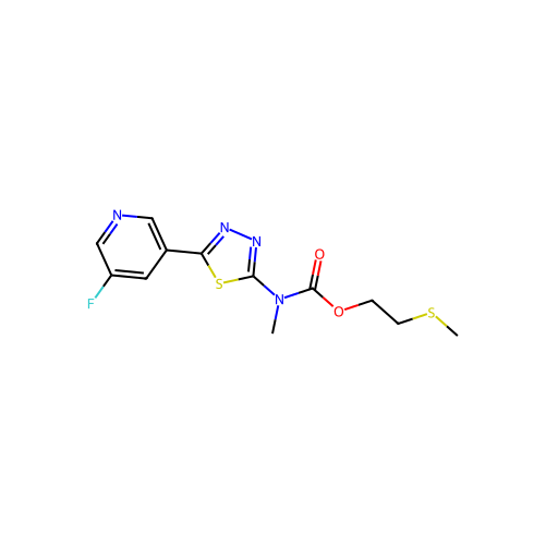 CSCCOC(=O)N(C)c1nnc(-c2cncc(F)c2)s1